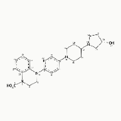 O=C(O)N1CCN(c2ccc(N3CCC(N4CC[C@H](O)C4)CC3)cn2)c2ccccc21